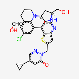 O=CO.O=c1cc(C2CC2)cnn1Cc1cc2nccc(-c3cc(Cl)cc4c3N([C@@H]3CN[C@H](CO)C3)CCC4)c2s1